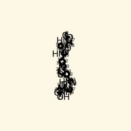 COC(=O)N[C@H](C(=O)N1CCC[C@H]1c1ncc(-c2ccc3c(c2)cc2n3CCOc3cc(-c4cnc([C@@H]5CCCN5C(=O)[C@@H](NC(=O)O)C(C)C)[nH]4)ccc3-2)[nH]1)C(C)C